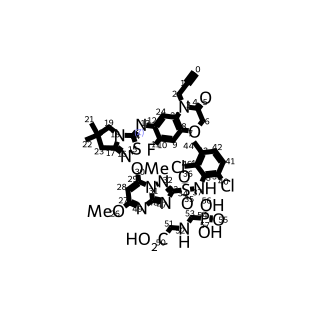 C#CCN1C(=O)COc2cc(F)c(/N=c3\snc4n3CC(C)(C)C4)cc21.COc1cc(OC)n2nc(S(=O)(=O)Nc3c(Cl)ccc(C)c3Cl)nc2n1.O=C(O)CNCP(=O)(O)O